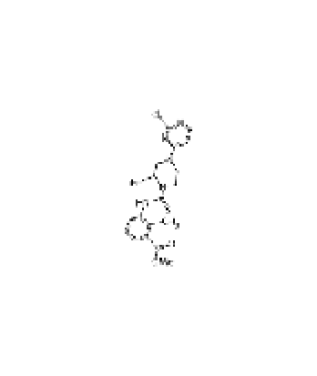 COC(=O)c1cccc(NC(=S)N2CCN(c3ccnc(Cl)n3)CC2C(C)C)c1C